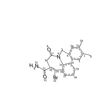 Cc1ccc(CN2C(=O)CC(C(N)=O)=C(Br)c3ccccc32)cc1C